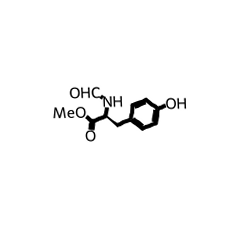 COC(=O)[C@H](Cc1ccc(O)cc1)NC=O